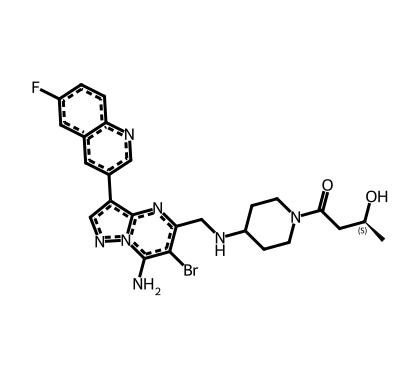 C[C@H](O)CC(=O)N1CCC(NCc2nc3c(-c4cnc5ccc(F)cc5c4)cnn3c(N)c2Br)CC1